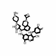 CC(C)(C)N1CCC(N2C=C([C@@H](Nc3cc(Cl)c4ncc(C#N)c(Nc5ccc(F)c(Cl)c5)c4c3)c3cccc4c3CCN(C3COC3)C4)NN2)CC1